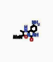 CNC(=O)C(C)Nc1nc(=O)[nH]c2ccc(N)cc12